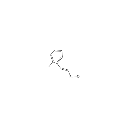 Cc1ccccc1C=CP=O